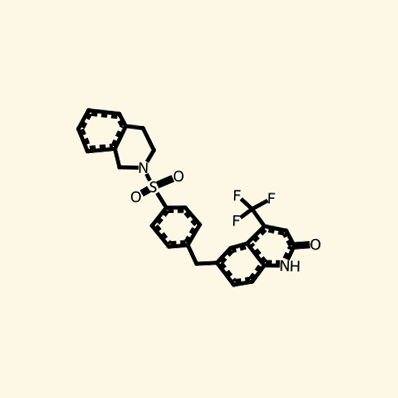 O=c1cc(C(F)(F)F)c2cc(Cc3ccc(S(=O)(=O)N4CCc5ccccc5C4)cc3)ccc2[nH]1